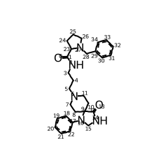 O=C(NCCCN1CCC2(CC1)C(=O)NCN2c1ccccc1)C1CCCN1Cc1ccccc1